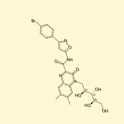 Cc1cc2nc(C(=O)Nc3cc(-c4ccc(Br)cc4)no3)c(=O)n(C[C@H](O)[C@H](O)[C@H](O)CO)c2cc1C